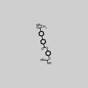 CCCCOC(C)c1ccc(-c2ccc(C(=O)Oc3ccc(OC(CCC)CCCC)cc3)cc2)cc1